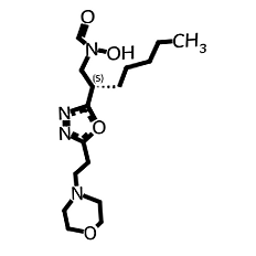 CCCCC[C@@H](CN(O)C=O)c1nnc(CCN2CCOCC2)o1